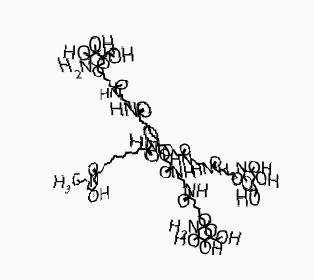 CCC[C@@H]1C[C@@H](O)CN1C(=O)CCCCCCCCC(=O)NC(COCCC(=O)NCCCNC(=O)CCCCOC1OC(CO)C(O)C(O)C1N)(COCCC(=O)NCCCNC(=O)CCCCOC1OC(CO)C(O)C(O)C1N)COCCC(=O)NCCCNC(=O)CCCCOC1OC(CO)C(O)C(O)C1N